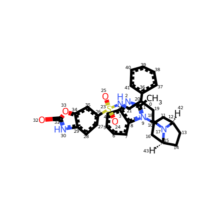 Cc1nc2ccccc2n1C1C[C@H]2CC[C@@H](C1)N2CCC(CNS(=O)(=O)c1ccc2[nH]c(=O)oc2c1)c1ccccc1